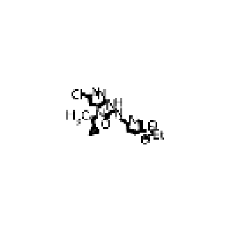 CCS(=O)(=O)c1ccc(CNc2nc3nnc(Cl)cc3n([C@@H](C)C3CC3)c2=O)nc1